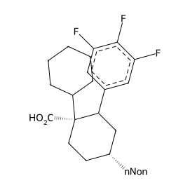 CCCCCCCCC[C@@H]1CC[C@@](C(=O)O)(C2CCCCC2)C(c2cc(F)c(F)c(F)c2)C1